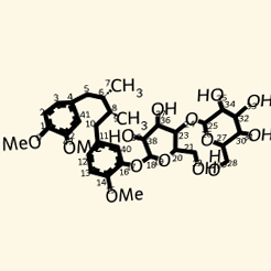 COc1ccc(C[C@H](C)[C@H](C)Cc2ccc(OC)c(OC3OC(CO)C(OC4OC(CO)C(O)C(O)C4O)C(O)C3O)c2)cc1OC